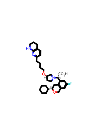 O=C(O)[C@H](c1cc(F)cc2c1C[C@H](C1CCCCC1)OC2)N1CC[C@@H](OCCCCc2ccc3c(n2)NCCC3)C1